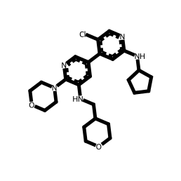 Clc1cnc(NC2CCCC2)cc1-c1cnc(N2CCOCC2)c(NCC2CCOCC2)c1